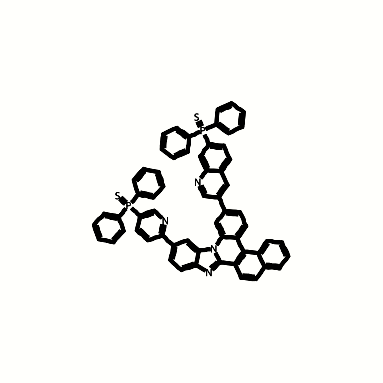 S=P(c1ccccc1)(c1ccccc1)c1ccc(-c2ccc3nc4c5ccc6ccccc6c5c5ccc(-c6cnc7cc(P(=S)(c8ccccc8)c8ccccc8)ccc7c6)cc5n4c3c2)nc1